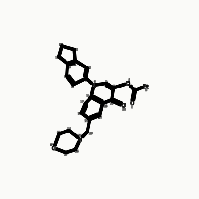 CCC(=O)Oc1cn(-c2ccc3c(c2)CCC3)c2ccc(CN3CCOCC3)cc2c1=O